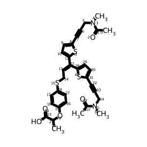 CC(=O)N(C)CC#Cc1ccc(C(=CCSc2ccc(OC(C)C(=O)O)cc2)c2ccc(C#CCN(C)C(C)=O)s2)s1